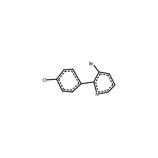 Clc1ccc(-c2ncccc2Br)cc1